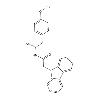 CC(=O)C(Cc1ccc(OC(C)(C)C)cc1)NC(=O)CC1c2ccccc2-c2ccccc21